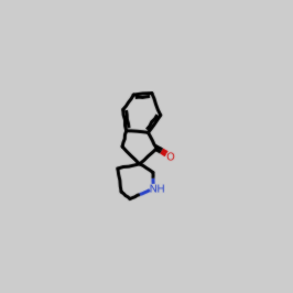 O=C1c2ccccc2CC12CCCNC2